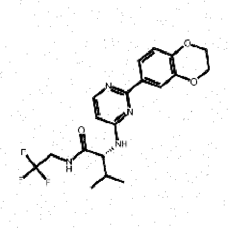 CC(C)[C@@H](Nc1ccnc(-c2ccc3c(c2)OCCO3)n1)C(=O)NCC(F)(F)F